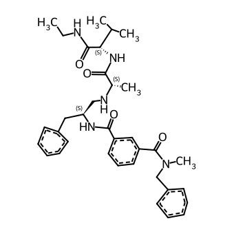 CCNC(=O)[C@@H](NC(=O)[C@H](C)NC[C@H](Cc1ccccc1)NC(=O)c1cccc(C(=O)N(C)Cc2ccccc2)c1)C(C)C